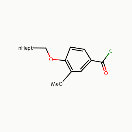 CCCCCCCCOc1ccc(C(=O)Cl)cc1OC